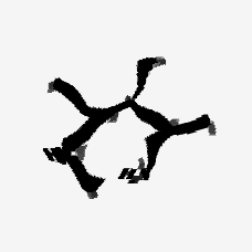 CN[C@@H](C)[C@H](C)C(C)N